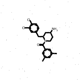 Cc1cc(C)cc(C(=O)N2CCC(N)CC2Cc2ccc(Cl)c(Cl)c2)c1